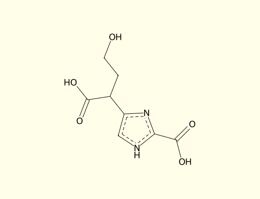 O=C(O)c1nc(C(CCO)C(=O)O)c[nH]1